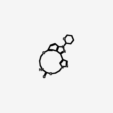 O=C1NCCCOc2ccc3c(c2)c(nn3C2CCCCO2)-c2cnn(c2)CCO1